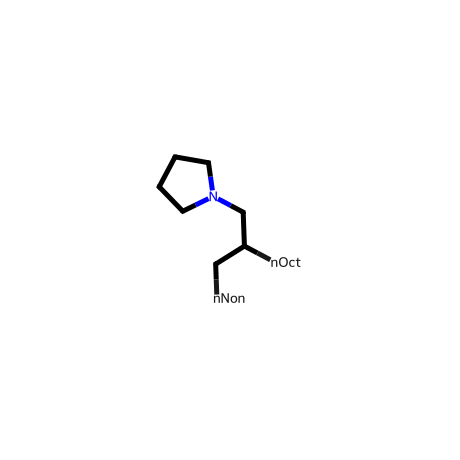 CCCCCCCCCCC(CCCCCCCC)CN1CCCC1